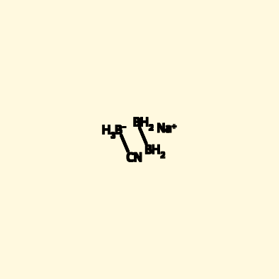 BB.[BH3-]C#N.[Na+]